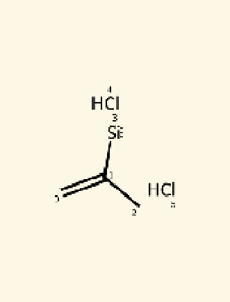 C=C(C)[Si].Cl.Cl